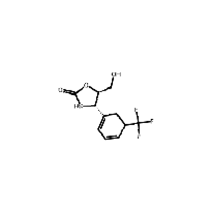 O=C1N[C@@H](C2=CC=CC(C(F)(F)F)C2)[C@H](CO)O1